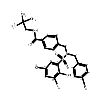 CC(C)(C)CNC(=O)c1ccc(CN(Cc2ccc(F)cc2)S(=O)(=O)c2cc(Cl)cc(Cl)c2O)cc1